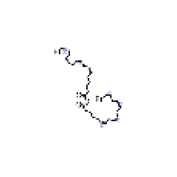 CC/C=C\C/C=C\C/C=C\C/C=C\CCCCC(=O)OC(=O)CCCC/C=C\C/C=C\C/C=C\C/C=C\CC